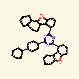 c1ccc(-c2ccc(-c3nc(-c4cccc5oc6ccccc6c45)nc(-c4cccc5oc6c7ccccc7ccc6c45)n3)cc2)cc1